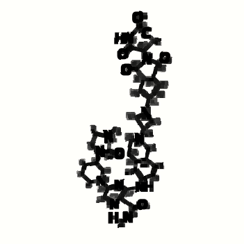 CN1CCN([C@@H]2CCCN(c3cnc(C(N)=O)c(Nc4ccc5c(c4)CCN(C4CN(c6ccc7c(c6)C(=O)N(C6CCC(=O)NC6=O)C7=O)C4)C5)n3)C2)C1=O